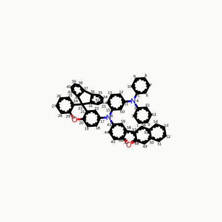 c1ccc(N(c2ccccc2)c2cccc(N(c3ccc4c(c3)C3(c5ccccc5O4)c4ccccc4-c4ccccc43)c3ccc4oc5cc6ccccc6cc5c4c3)c2)cc1